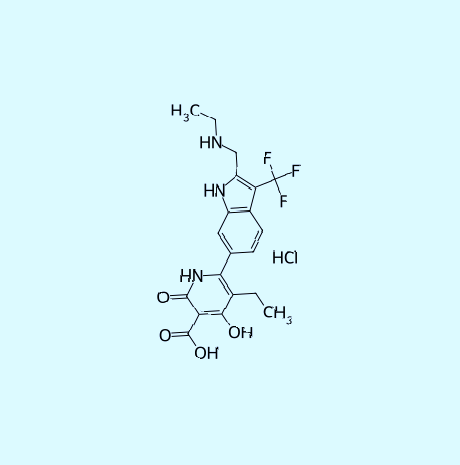 CCNCc1[nH]c2cc(-c3[nH]c(=O)c(C(=O)O)c(O)c3CC)ccc2c1C(F)(F)F.Cl